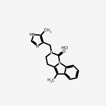 Cc1[nH]cnc1CN1CCc2c(C)c3ccccc3n2C1=O.Cl